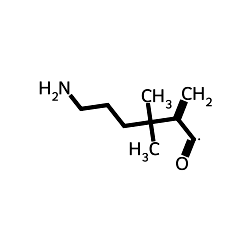 C=C([C]=O)C(C)(C)CCCN